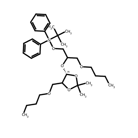 CCCCOCC(CO[Si](c1ccccc1)(c1ccccc1)C(C)(C)C)O[C@@H]1OC(C)(C)OC1COCCCC